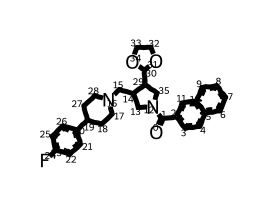 O=C(c1ccc2ccccc2c1)N1CC(CN2CCC(c3ccc(F)cc3)CC2)C(C2OCCO2)C1